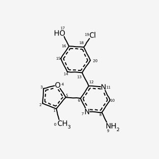 Cc1ccoc1-c1nc(N)cnc1-c1ccc(O)c(Cl)c1